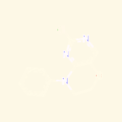 Clc1ncc2c(n1)N(c1ccccc1)CCO2